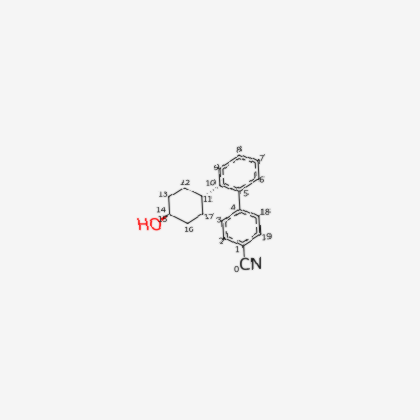 N#Cc1ccc(-c2ccccc2[C@H]2CC[C@H](O)CC2)cc1